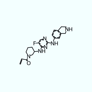 C=CC(=O)N1CCCC(Nc2nc(Nc3ccc4c(c3)CNCC4)ncc2F)C1